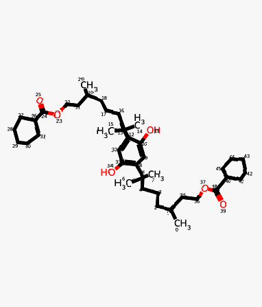 CC(CCCC(C)(C)c1cc(O)c(C(C)(C)CCCC(C)CCOC(=O)C2CCCCC2)cc1O)CCOC(=O)C1CCCCC1